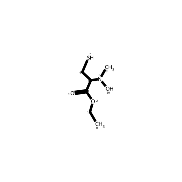 CCOC(=O)C(CS)N(C)O